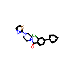 O=C(c1ccc(-c2ccccc2)cc1Cl)N1CCN(c2nccs2)CC1